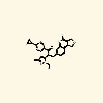 CCn1nc(C)cc1N(Cc1ccc2c3c(c(Cl)nc2c1)COC3)C(=O)c1cnc(C2CC2)nc1